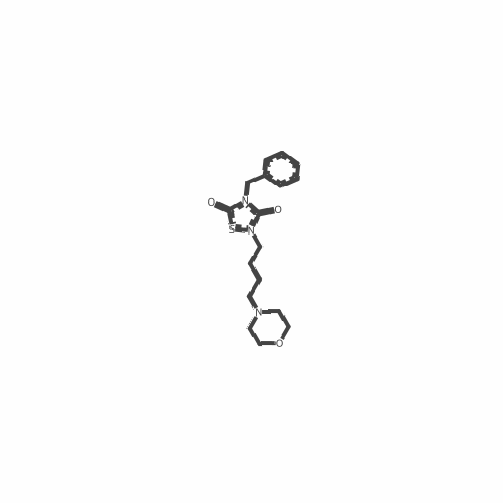 O=c1sn(CCCCN2CCOCC2)c(=O)n1Cc1ccccc1